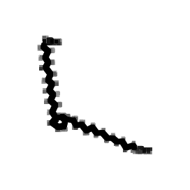 CCCCCCCCCCCCCCCCCCCCCCCc1c[c]cc(CCCCCCCCCCCCCCCCCCCCCCC)c1